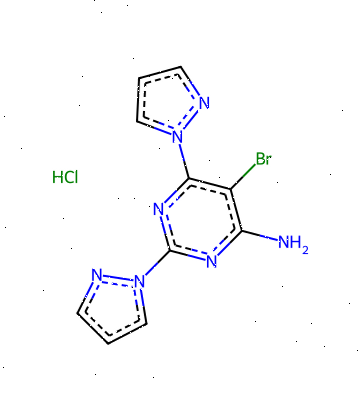 Cl.Nc1nc(-n2cccn2)nc(-n2cccn2)c1Br